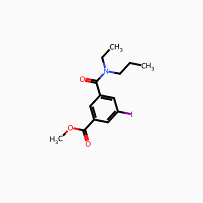 CCCN(CC)C(=O)c1cc(I)cc(C(=O)OC)c1